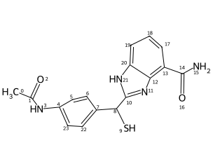 CC(=O)Nc1ccc(C(S)c2nc3c(C(N)=O)cccc3[nH]2)cc1